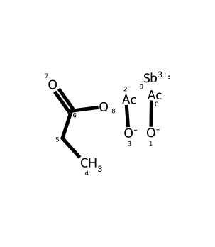 CC(=O)[O-].CC(=O)[O-].CCC(=O)[O-].[Sb+3]